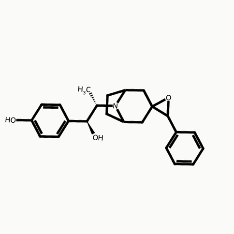 C[C@@H]([C@@H](O)c1ccc(O)cc1)N1C2CCC1CC1(C2)OC1c1ccccc1